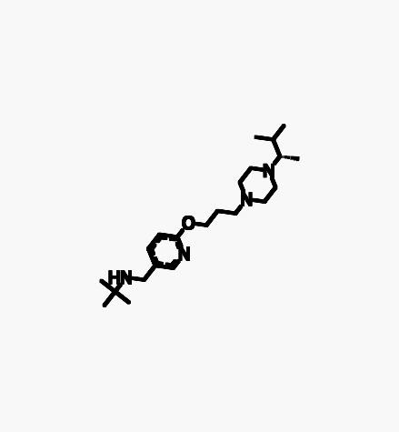 CC(C)[C@H](C)N1CCN(CCCOc2ccc(CNC(C)(C)C)cn2)CC1